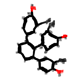 O=Cc1cc(-c2cccc(-c3ccc(O)c(C=O)c3)c2-c2ccc(O)c(C=O)c2)ccc1O